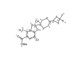 COC(=O)c1cc(Cl)c2c(c1C)O[C@@](C)(C1CCN(C3CC(F)(F)C3)CC1)O2